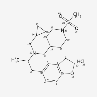 CC(Cc1ccc2c(c1)CCO2)N(CC1CC1)CC1CCN(S(C)(=O)=O)CC1.Cl